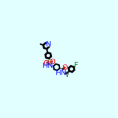 Cc1cncc(-c2ccc(S(=O)(=O)N[C@H]3CC[C@H](C(=O)N[C@H](C)c4ccc(F)cc4)CC3)cc2)c1